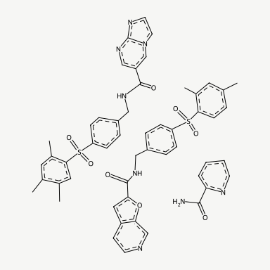 Cc1cc(C)c(S(=O)(=O)c2ccc(CNC(=O)c3cnc4nccn4c3)cc2)cc1C.Cc1ccc(S(=O)(=O)c2ccc(CNC(=O)c3cc4ccncc4o3)cc2)c(C)c1.NC(=O)c1ccccn1